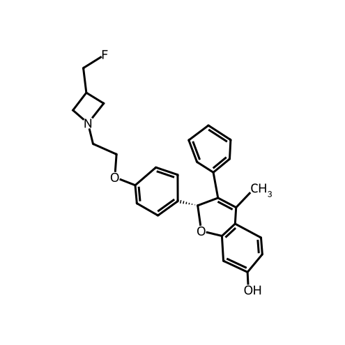 CC1=C(c2ccccc2)[C@@H](c2ccc(OCCN3CC(CF)C3)cc2)Oc2cc(O)ccc21